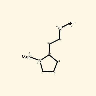 CNN1CCCC1CCOC(C)C